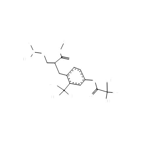 COC(=O)C(CO[SiH](C)C)Cc1ccc(OC(=O)C(C)(C)C)cc1C(C)(C)C